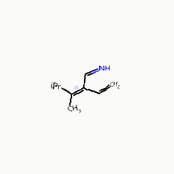 C=C/C(C=N)=C(\C)C(C)C